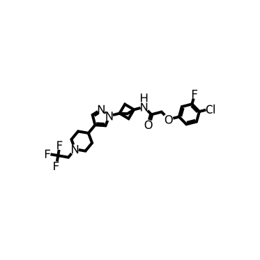 O=C(COc1ccc(Cl)c(F)c1)NC12CC(n3cc(C4CCN(CC(F)(F)F)CC4)cn3)(C1)C2